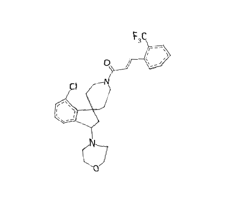 O=C(/C=C/c1ccccc1C(F)(F)F)N1CCC2(CC1)CC(N1CCOCC1)c1cccc(Cl)c12